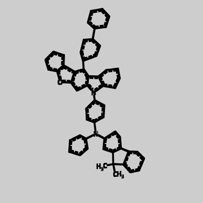 CC1(C)c2ccccc2-c2ccc(N(c3ccccc3)c3ccc(-n4c5ccccc5c5c(-c6ccc(-c7ccccc7)cc6)c6c(cc54)oc4ccccc46)cc3)cc21